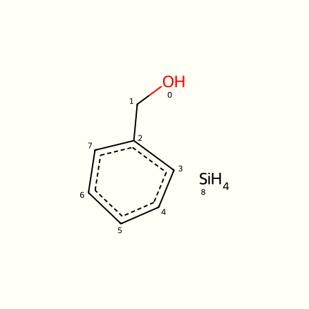 OCc1ccccc1.[SiH4]